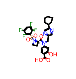 O=C(O)c1ccc(N(Cc2cnc(C3CCCCC3)cn2)C(=O)[C@H]2CCN2S(=O)(=O)c2c(F)c(F)cc(F)c2F)cc1O